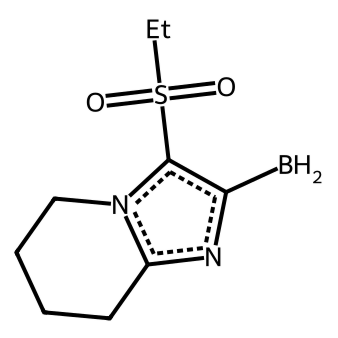 Bc1nc2n(c1S(=O)(=O)CC)CCCC2